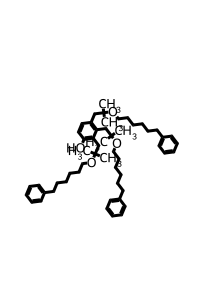 CC(C)(Cc1ccc(O)c(CC(C)(C)OCCCCCCc2ccccc2)c1CC(C)(C)OCCCCCCc1ccccc1)OCCCCCCc1ccccc1